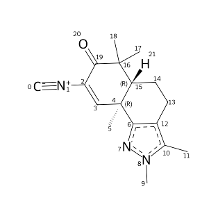 [C-]#[N+]C1=C[C@]2(C)c3nn(C)c(C)c3CC[C@H]2C(C)(C)C1=O